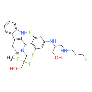 C[C@@H]1Cc2c([nH]c3ccccc23)C(c2c(F)cc(NC(CO)CNCCCF)cc2F)N1CC(F)(F)CO